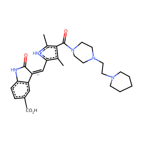 Cc1[nH]c(/C=C2\C(=O)Nc3ccc(C(=O)O)cc32)c(C)c1C(=O)N1CCN(CCN2CCCCC2)CC1